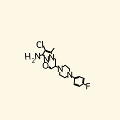 Cc1c(Cl)c(N)nn1CC(C=O)N1CCN(c2ccc(F)cc2)CC1